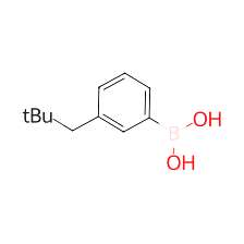 CC(C)(C)Cc1cccc(B(O)O)c1